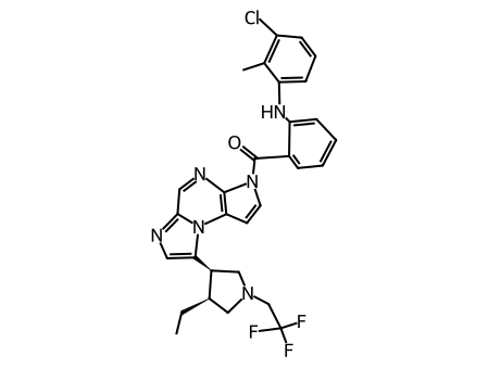 CC[C@@H]1CN(CC(F)(F)F)C[C@@H]1c1cnc2cnc3c(ccn3C(=O)c3ccccc3Nc3cccc(Cl)c3C)n12